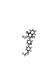 Cc1c(-c2ccc(-c3ccc(OC(F)(F)F)cc3)nc2)[nH]c2ccccc2c1=O